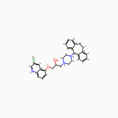 OC(COc1cccc2ncc(Cl)cc12)CN1CCN(C2c3ccccc3CCc3ccccc32)CC1